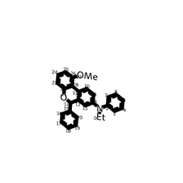 CCN(c1ccccc1)c1ccc2c(c1)C(c1ccccc1)Oc1cccc(OC)c1-2